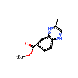 Cc1cnc2ccc(C(=O)OC(C)(C)C)cc2n1